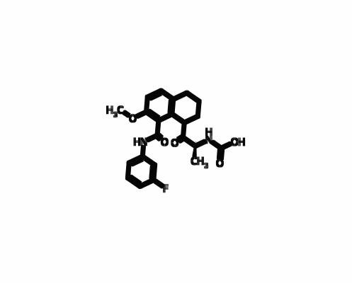 COc1ccc2c(c1C(=O)Nc1cccc(F)c1)C(C(=O)[C@H](C)NC(=O)O)CCC2